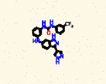 O=C(Nc1cccc(Nc2ccc3c(-c4cn[nH]c4)n[nH]c3c2)c1)Nc1cccc(C(F)(F)F)c1